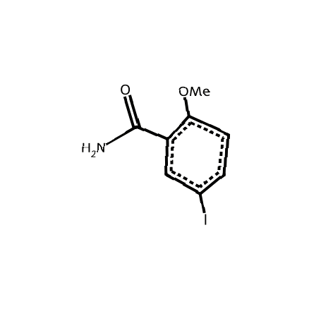 COc1ccc(I)cc1C(N)=O